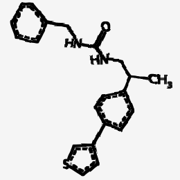 CC(CNC(=O)NCc1ccccc1)c1ccc(-c2ccsc2)cc1